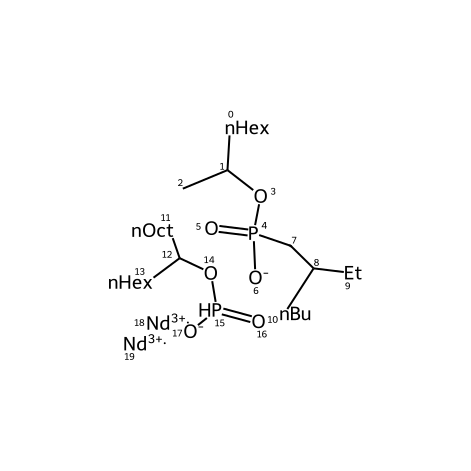 CCCCCCC(C)OP(=O)([O-])CC(CC)CCCC.CCCCCCCCC(CCCCCC)O[PH](=O)[O-].[Nd+3].[Nd+3]